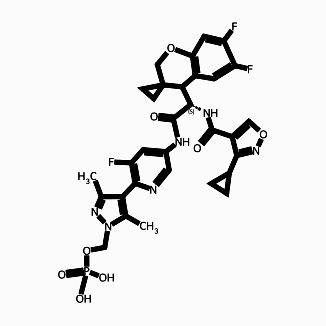 Cc1nn(COP(=O)(O)O)c(C)c1-c1ncc(NC(=O)[C@@H](NC(=O)c2conc2C2CC2)C2c3cc(F)c(F)cc3OCC23CC3)cc1F